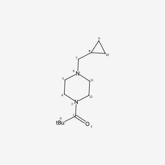 CC(C)(C)C(=O)N1CCN(CC2CC2)CC1